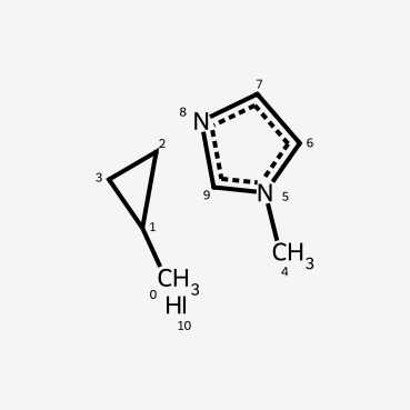 CC1CC1.Cn1ccnc1.I